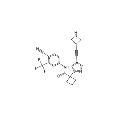 N#Cc1ccc(NC(=O)C2(n3cc(C#CC4CNC4)cn3)CCC2)cc1C(F)(F)F